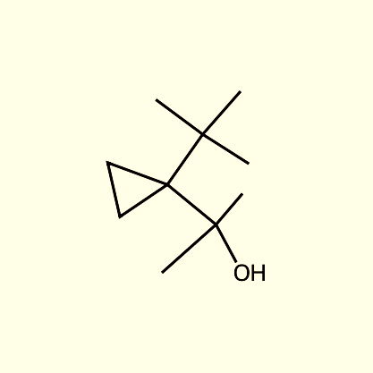 CC(C)(C)C1(C(C)(C)O)CC1